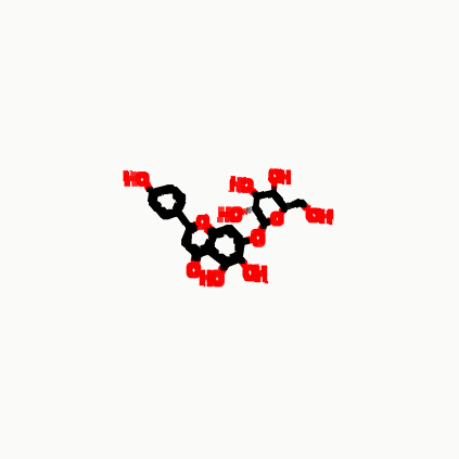 O=c1cc(-c2ccc(O)cc2)oc2cc(O[C@@H]3O[C@H](CO)[C@H](O)[C@H](O)[C@H]3O)c(O)c(O)c12